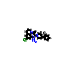 C=C(CN1CCC(c2ccccc2C(F)(F)F)CC1)N1CCCc2cc(Cl)cc(N)c21